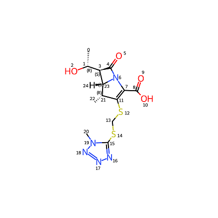 C[C@@H](O)[C@H]1C(=O)N2C(C(=O)O)=C(SCSc3nnnn3C)[C@H](C)[C@H]12